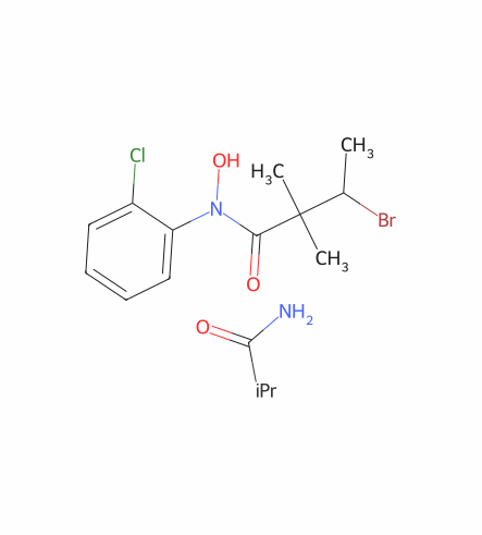 CC(Br)C(C)(C)C(=O)N(O)c1ccccc1Cl.CC(C)C(N)=O